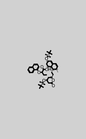 CCC(Oc1cccc2ccccc12)C(=O)O[C@H]1C[C@H](O[Si](C)(C)C(C)(C)C)C=C2C=C[C@H](C)[C@H](CC[C@@H]3C[C@@H](O[Si](C)(C)C(C)(C)C)CC(=O)O3)[C@H]21